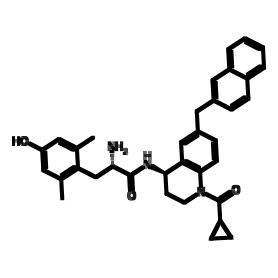 Cc1cc(O)cc(C)c1C[C@H](N)C(=O)N[C@@H]1CCN(C(=O)C2CC2)c2ccc(Cc3ccc4ccccc4c3)cc21